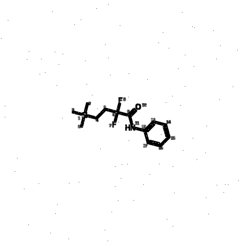 C[Si](C)(C)CCC(F)(F)C(=O)Nc1ccccc1